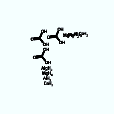 O=C(O)O.O=C(O)O.O=C(O)O.[AlH3].[AlH3].[CaH2].[CaH2].[MgH2].[MgH2].[MgH2].[MgH2]